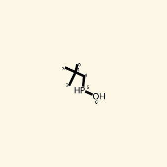 CC(C)(C)CPO